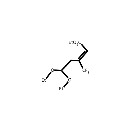 CCOC(=O)C=C(CC(OCC)OCC)C(F)(F)F